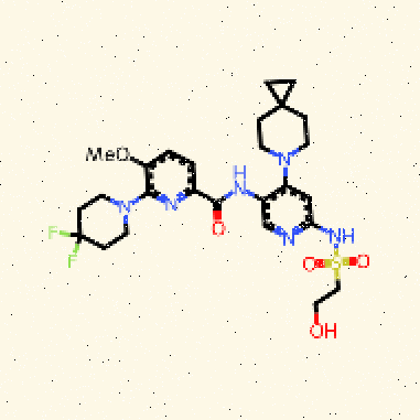 COc1ccc(C(=O)Nc2cnc(NS(=O)(=O)CCO)cc2N2CCC3(CC2)CC3)nc1N1CCC(F)(F)CC1